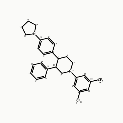 FC(F)(F)c1cc(N2CCC(c3ccc(N4CCCC4)cc3)C(c3ccccc3)C2)cc(C(F)(F)F)c1